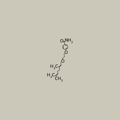 CC(C)=CCC/C(C)=C/COCCCOc1ccc(C(N)=O)cc1